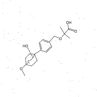 COC12CCC(c3ccc(COC(C)(C)C(=O)O)cc3)(CC1)C(O)C2